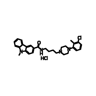 Cc1c(Cl)cccc1N1CCN(CCCCNC(=O)c2ccc3c(c2)c2ccccc2n3C)CC1.Cl